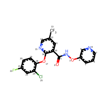 O=C(NOc1cccnc1)c1cc(C(F)(F)F)cnc1Oc1ccc(F)cc1Cl